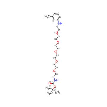 Cc1cccc(NCCOCCOCCOCCOCCOCCNC(=O)OC(C)(C)C)c1